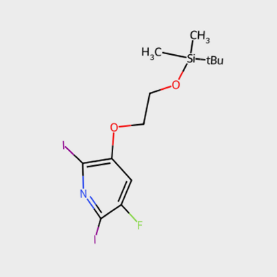 CC(C)(C)[Si](C)(C)OCCOc1cc(F)c(I)nc1I